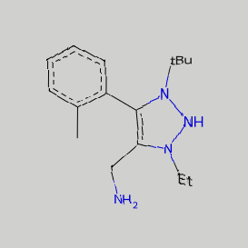 CCN1NN(C(C)(C)C)C(c2ccccc2C)=C1CN